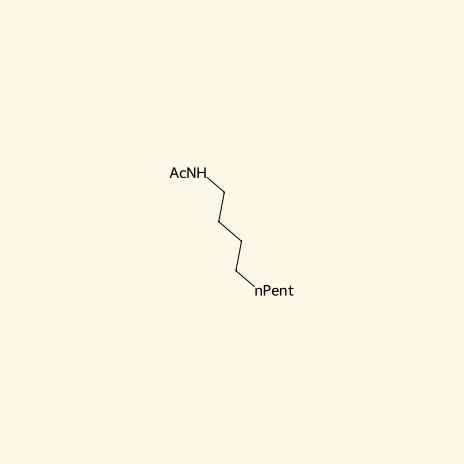 CCCCCCCCCNC(C)=O